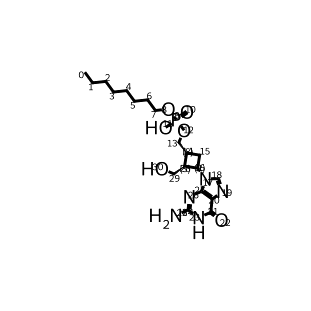 CCCCCCCCOP(=O)(O)OC[C@H]1C[C@@H](n2cnc3c(=O)[nH]c(N)nc32)[C@H]1CO